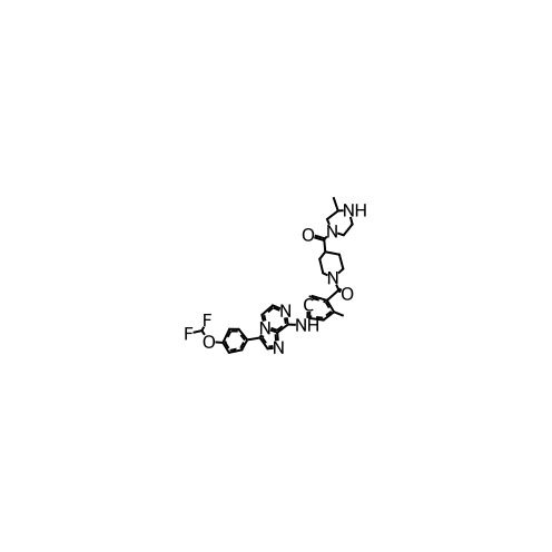 Cc1cc(Nc2nccn3c(-c4ccc(OC(F)F)cc4)cnc23)ccc1C(=O)N1CCC(C(=O)N2CCNC(C)C2)CC1